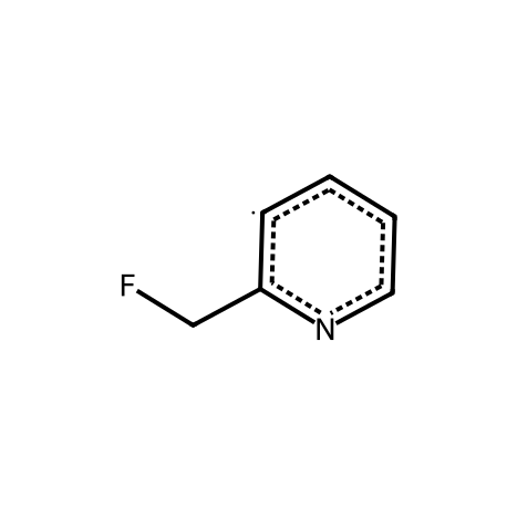 FCc1[c]cccn1